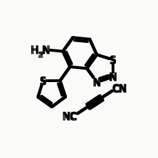 N#CC#CC#N.Nc1ccc2snnc2c1-c1cccs1